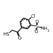 NS(=O)(=O)c1cc(C(=O)CS)ccc1Cl